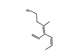 C=NC(/C=C\C)=C(/C)CCC(C)(C)C